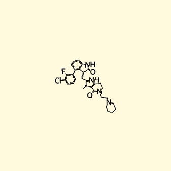 Cc1c(/C=C2\C(=O)Nc3cccc(-c4cccc(Cl)c4F)c32)[nH]c2c1C(=O)N(CCN1CCCCC1)CC2